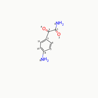 NC(=O)C(=O)c1ccc(N)cc1